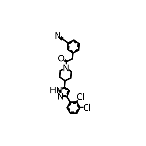 N#Cc1cccc(CC(=O)N2CCC(c3cc(-c4cccc(Cl)c4Cl)n[nH]3)CC2)c1